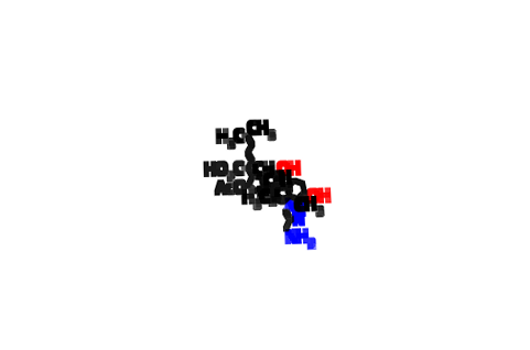 CC(=O)OC1CC2(C)C3(C)CC[C@@]4(n5cc(CN)nn5)C(C)[C@H](O)CCC4(C)[C@@H]3[C@H](O)C[C@@]2(C)/C1=C(\C=C\C=C(C)C)C(=O)O